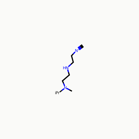 C#[N+]CCNCCN(C)C(C)C